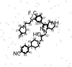 N#Cc1ccc(C2CCN(C[C@H](O)Cn3nc(-c4ccc(C(F)(F)F)c(SCCN5CCC(F)CC5)c4)c4c3CCNC4)CC2)cc1